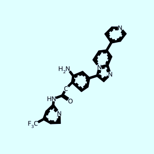 Nc1cc(-c2cnc3cc(-c4ccncc4)ccn23)ccc1CC(=O)Nc1cc(C(F)(F)F)ccn1